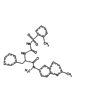 Cc1ccc2cc(N(C)C(=O)C(Cc3ccccc3)NC(=O)NS(=O)(=O)c3ccccc3C)ccc2n1